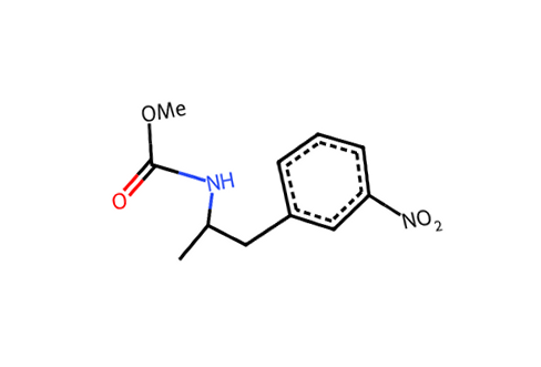 COC(=O)NC(C)Cc1cccc([N+](=O)[O-])c1